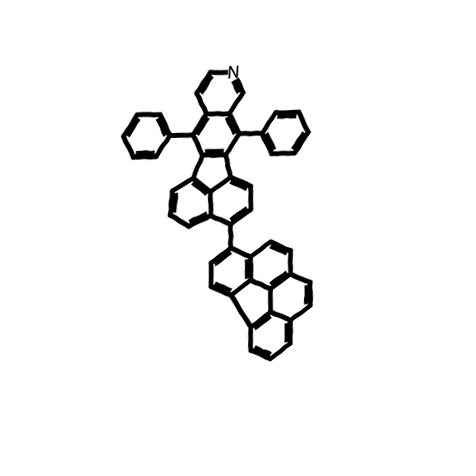 c1ccc(-c2c3c(c(-c4ccccc4)c4cnccc24)-c2ccc(-c4ccc5c6c4ccc4ccc7cccc-5c7c46)c4cccc-3c24)cc1